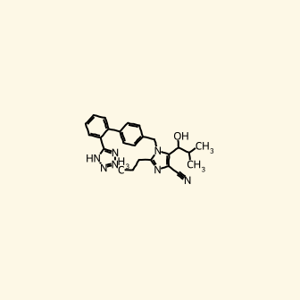 CCCc1nc(C#N)c(C(O)C(C)C)n1Cc1ccc(-c2ccccc2-c2nnn[nH]2)cc1